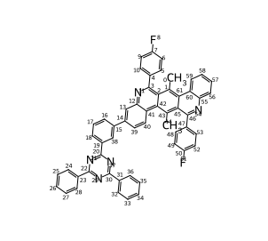 Cc1c2c(-c3ccc(F)cc3)nc3cc(-c4cccc(-c5nc(-c6ccccc6)nc(-c6ccccc6)n5)c4)ccc3c2c(C)c2c(-c3ccc(F)cc3)nc3ccccc3c12